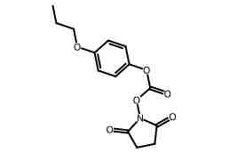 CCCOc1ccc(OC(=O)ON2C(=O)CCC2=O)cc1